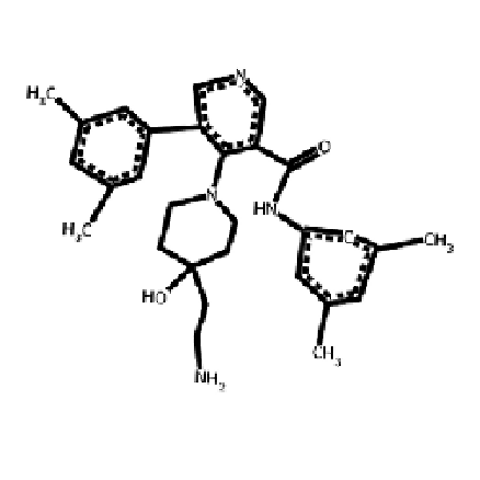 Cc1cc(C)cc(NC(=O)c2cncc(-c3cc(C)cc(C)c3)c2N2CCC(O)(CCN)CC2)c1